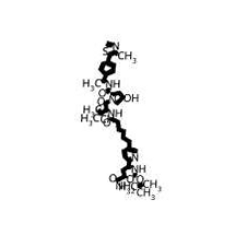 Cc1ncsc1-c1ccc(C(C)NC(=O)[C@@H]2C[C@@H](O)CN2C(=O)C(NC(=O)CCCCCc2ccc(C(CCC(N)=O)NC(=O)OC(C)(C)C)nc2)C(C)(C)C)cc1